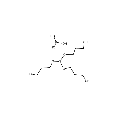 OB(O)O.OCCCON(OCCCO)OCCCO